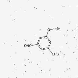 CCCOc1cc(C=O)cc(C=O)c1